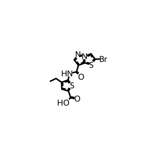 CCc1cc(C(=O)O)sc1NC(=O)c1cnn2cc(Br)sc12